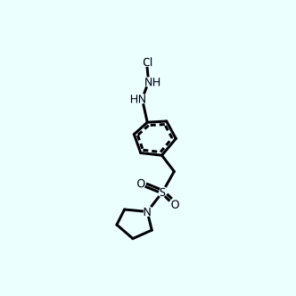 O=S(=O)(Cc1ccc(NNCl)cc1)N1CCCC1